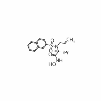 C=CCN([C@@H](C(=O)NO)C(C)C)S(=O)(=O)c1ccc2ccccc2c1